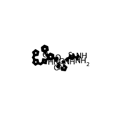 N=C(N)c1csc(CNC(=O)[C@@H]2CCCN2C(=O)CNC(=O)c2ccc(Oc3ccccc3)c(C3CC(CC4CCC(CC5CCCC5)C4)C3)c2)c1